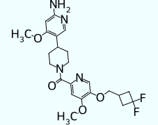 COc1cc(C(=O)N2CCC(c3cnc(N)cc3OC)CC2)ncc1OCC1CC(F)(F)C1